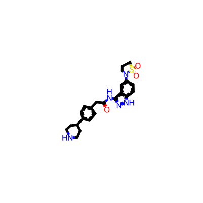 O=C(Cc1ccc(C2CCNCC2)cc1)Nc1n[nH]c2ccc(N3CCCS3(=O)=O)cc12